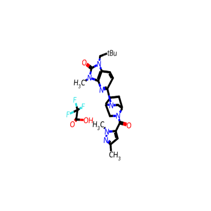 Cc1cc(C(=O)N2CC3CCC2CN3c2ccc3c(n2)n(C)c(=O)n3CC(C)(C)C)n(C)n1.O=C(O)C(F)(F)F